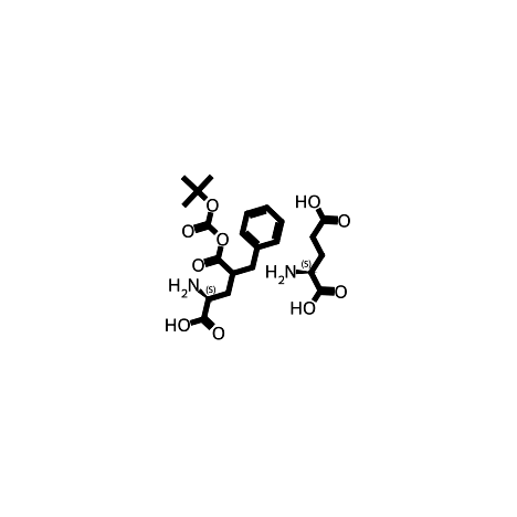 CC(C)(C)OC(=O)OC(=O)C(Cc1ccccc1)C[C@H](N)C(=O)O.N[C@@H](CCC(=O)O)C(=O)O